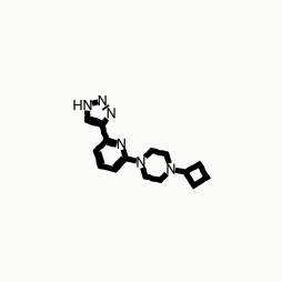 c1cc(-c2c[nH]nn2)nc(N2CCN(C3CCC3)CC2)c1